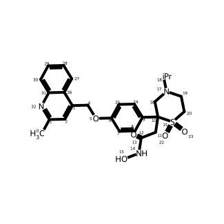 Cc1cc(COc2ccc(C3(CC(=O)NO)CN(C(C)C)CCS3(=O)=O)cc2)c2ccccc2n1